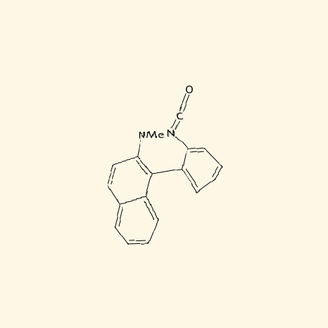 CNc1ccc2ccccc2c1-c1ccccc1N=C=O